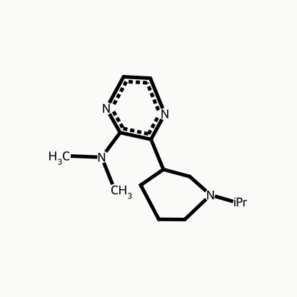 CC(C)N1CCCC(c2nccnc2N(C)C)C1